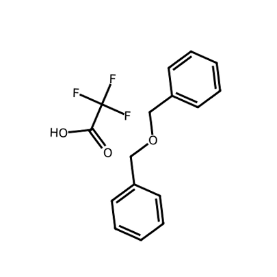 O=C(O)C(F)(F)F.c1ccc(COCc2ccccc2)cc1